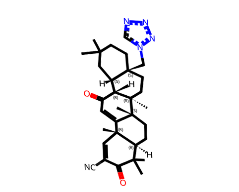 CC1(C)CC[C@]2(Cn3cnnn3)CC[C@]3(C)[C@H](C(=O)C=C4[C@@]5(C)C=C(C#N)C(=O)C(C)(C)[C@@H]5CC[C@]43C)[C@@H]2C1